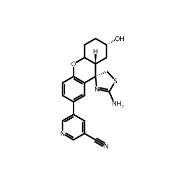 N#Cc1cncc(-c2ccc3c(c2)[C@@]2(CSC(N)=N2)[C@H]2C[C@@H](O)CCC2O3)c1